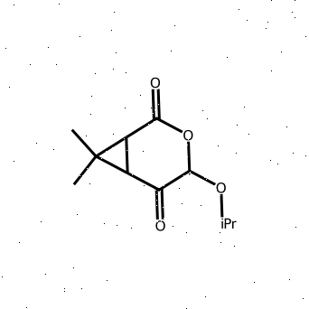 CC(C)O[C]1OC(=O)C2C(C1=O)C2(C)C